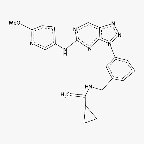 C=C(NCc1cccc(-n2nnc3cnc(Nc4ccc(OC)nc4)nc32)c1)C1CC1